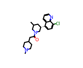 CC1C[C@H](c2ccc(Cl)c3ncccc23)CN(C(=O)CC2CCN(C)CC2)C1